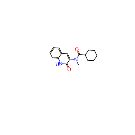 CN(C(=O)C1CCCCC1)c1cc2ccccc2[nH]c1=O